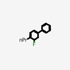 CCCC1=CC=C(c2ccccc2)C[C]1F